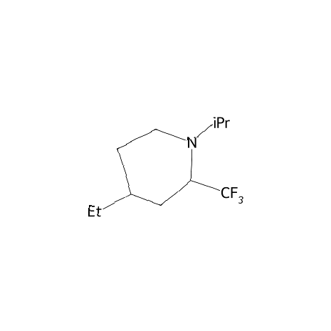 CCC1CCN(C(C)C)C(C(F)(F)F)C1